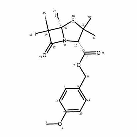 COc1ccc(COC(=O)[C@@H]2N3C(=O)C(I)(I)[C@H]3SC2(C)C)cc1